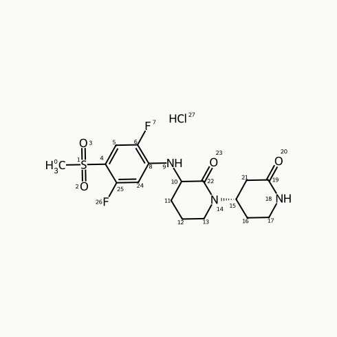 CS(=O)(=O)c1cc(F)c(NC2CCCN([C@H]3CCNC(=O)C3)C2=O)cc1F.Cl